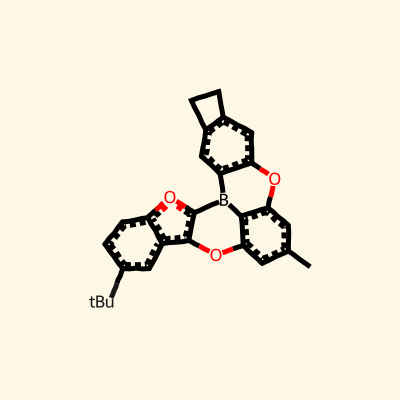 Cc1cc2c3c(c1)Oc1c(oc4ccc(C(C)(C)C)cc14)B3c1cc3c(cc1O2)CC3